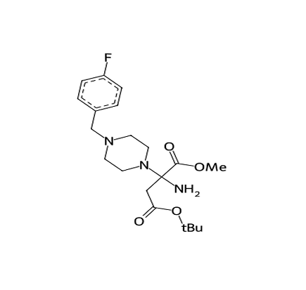 COC(=O)C(N)(CC(=O)OC(C)(C)C)N1CCN(Cc2ccc(F)cc2)CC1